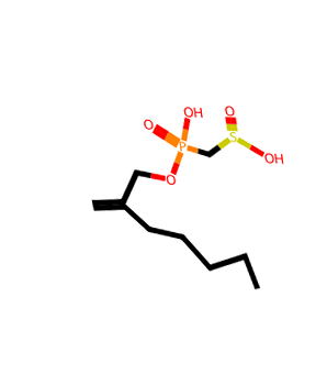 C=C(CCCCC)COP(=O)(O)CS(=O)O